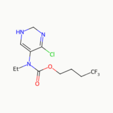 CCN(C(=O)OCCCC(F)(F)F)C1=CNCN=C1Cl